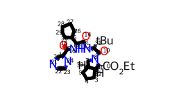 CCOC(=O)[C@@H]1[C@H]2CCC[C@H]2CN1C(=O)C(NC(=O)[C@@H](NC(=O)c1cnccn1)C1CCCCC1)C(C)(C)C